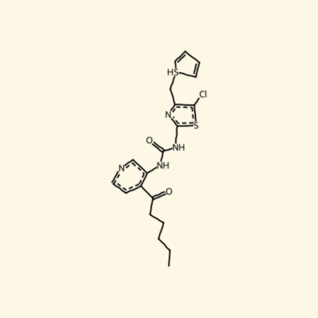 CCCCCC(=O)c1ccncc1NC(=O)Nc1nc(C[SH]2C=CC=C2)c(Cl)s1